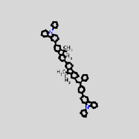 CC1(C)c2cc(/C=C(\c3ccccc3)c3ccc(-c4ccc5c(c4)c4ccccc4n5-c4ccccc4)cc3)ccc2-c2ccc(-c3ccc4c(c3)C(C)(C)c3cc(-c5ccc6c(c5)c5ccccc5n6-c5ccccc5)ccc3-4)cc21